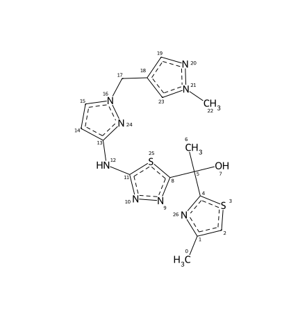 Cc1csc(C(C)(O)c2nnc(Nc3ccn(Cc4cnn(C)c4)n3)s2)n1